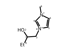 CCC(O)C[n+]1ccn(C)c1